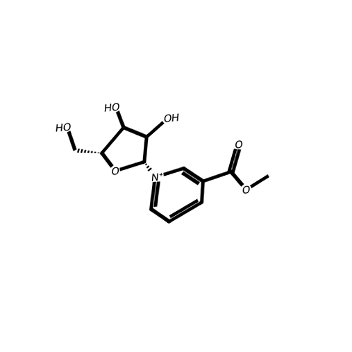 COC(=O)c1ccc[n+]([C@@H]2O[C@H](CO)C(O)C2O)c1